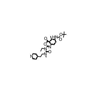 CCN(C(=O)N(C)CCc1ccncc1)c1nc2ccc(NC(=O)OC(C)(C)C)c(C)c2c(=O)o1